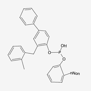 CCCCCCCCCc1ccccc1OP(O)Oc1ccc(-c2ccccc2)cc1Cc1ccccc1C